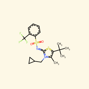 Cc1c(C(C)(C)C)s/c(=N\S(=O)(=O)c2ccccc2C(F)(F)F)n1CC1CC1